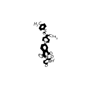 Cc1ccc(SOC(C)C2CCN(c3ccc4c(c3)C(=O)N(C3CCC(=O)NC3=O)C4=O)CC2)cc1